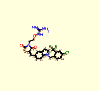 N=C(N)NOCCN1C(=O)SC(=Cc2ccc3c(ccn3Cc3ccc(Cl)cc3C(F)(F)F)c2)C1=O